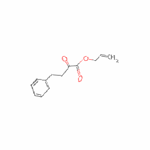 C=CCOC(=O)C(=O)CCc1ccccc1